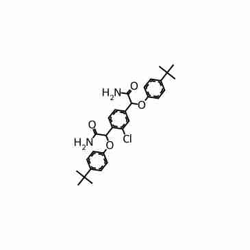 CC(C)(C)c1ccc(OC(C(N)=O)c2ccc(C(Oc3ccc(C(C)(C)C)cc3)C(N)=O)c(Cl)c2)cc1